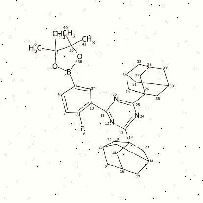 CC1(C)OB(c2ccc(F)c(-c3nc(C45CC6CC(CC(C6)C4)C5)nc(C45CC6CC(CC(C6)C4)C5)n3)c2)OC1(C)C